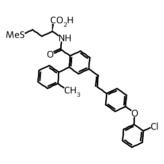 CSCC[C@H](NC(=O)c1ccc(C=Cc2ccc(Oc3ccccc3Cl)cc2)cc1-c1ccccc1C)C(=O)O